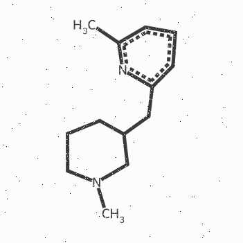 Cc1cccc(CC2CCCN(C)C2)n1